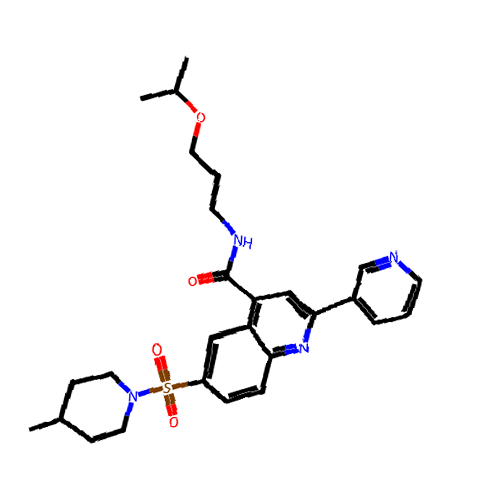 CC1CCN(S(=O)(=O)c2ccc3nc(-c4cccnc4)cc(C(=O)NCCCOC(C)C)c3c2)CC1